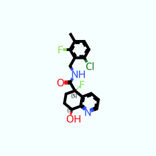 Cc1ccc(Cl)c(CNC(=O)[C@]2(F)CC[C@H](O)c3ncccc32)c1F